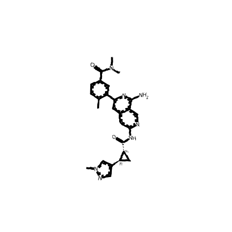 Cc1ccc(C(=O)N(C)C)cc1-c1cc2cc(NC(=O)[C@@H]3C[C@H]3c3cnn(C)c3)ncc2c(N)n1